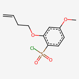 C=CCCOc1cc(OC)ccc1S(=O)(=O)Cl